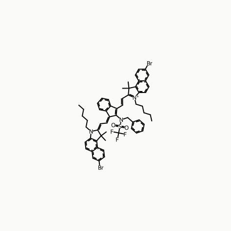 CCCCCN1/C(=C/C=C2C(N(Cc3ccccc3)S(=O)(=O)C(F)(F)F)=C(/C=C/C3=[N+](CCCCC)c4ccc5cc(Br)ccc5c4C3(C)C)c3ccccc3/2)C(C)(C)c2c1ccc1cc(Br)ccc21